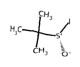 CC(C)(C)[S@@+]([O-])I